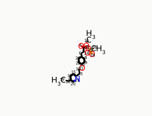 CCOC(=O)C(Cc1ccc(OCCc2ccc(CC)cn2)cc1)OS(C)(=O)=O